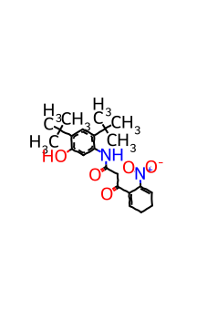 CC(C)(C)c1cc(C(C)(C)C)c(NC(=O)CC(=O)C2=CCCC=C2[N+](=O)[O-])cc1O